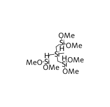 CO[SiH](C[Si](C)(C[SiH](OC)OC)C[SiH](OC)OC)OC